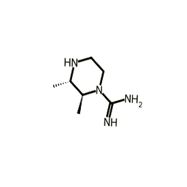 C[C@@H]1NCCN(C(=N)N)[C@H]1C